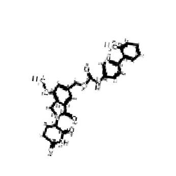 COc1cc(COC(=O)Nc2ccc(-c3ccccc3C)nc2)cc2c1CN(C1CCC(=O)NC1=O)C2=O